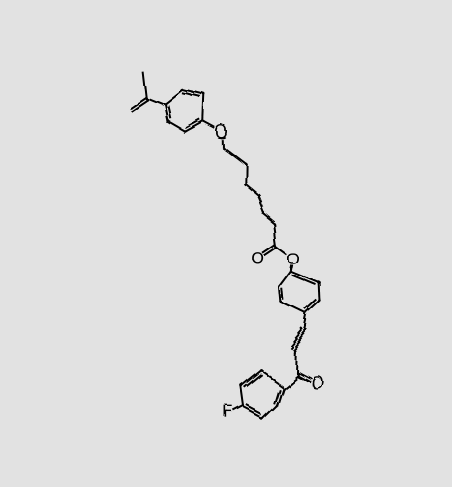 C=C(C)c1ccc(OCCCCCCC(=O)Oc2ccc(C=CC(=O)c3ccc(F)cc3)cc2)cc1